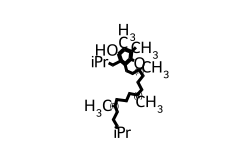 Cc1c(C)c2c(c(CC(C)C)c1O)CC[C@@](C)(CCC[C@H](C)CCC[C@H](C)CCCC(C)C)O2